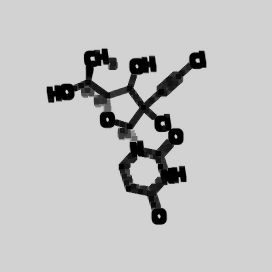 C[C@H](O)[C@H]1O[C@@H](n2ccc(=O)[nH]c2=O)C(Cl)(C#CCl)C1O